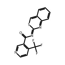 O=C(N=c1nc2ccccc2cs1)c1cnccc1C(F)(F)F